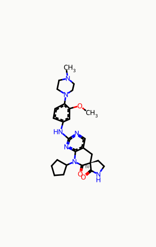 COc1cc(Nc2ncc3c(n2)N(C2CCCC2)C(=O)[C@]2(CCNC2=O)C3)ccc1N1CCN(C)CC1